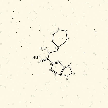 CC(CN1CCCCCC1)C(=O)c1ccc2c(c1)OCO2.Cl